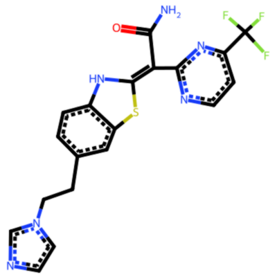 NC(=O)C(=C1Nc2ccc(CCn3ccnc3)cc2S1)c1nccc(C(F)(F)F)n1